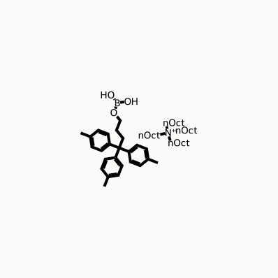 CCCCCCCC[N+](CCCCCCCC)(CCCCCCCC)CCCCCCCC.Cc1ccc(C(CCCOB(O)O)(c2ccc(C)cc2)c2ccc(C)cc2)cc1